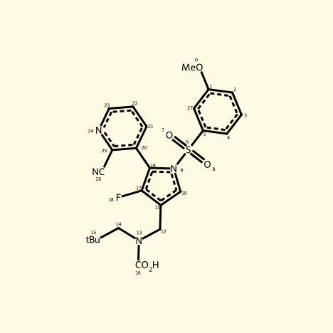 COc1cccc(S(=O)(=O)n2cc(CN(CC(C)(C)C)C(=O)O)c(F)c2-c2cccnc2C#N)c1